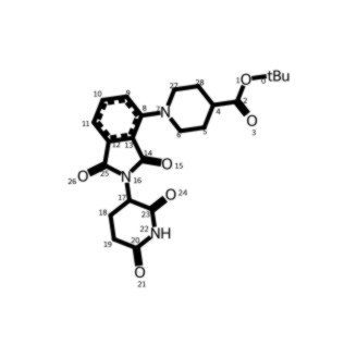 CC(C)(C)OC(=O)C1CCN(c2cccc3c2C(=O)N(C2CCC(=O)NC2=O)C3=O)CC1